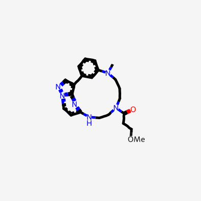 COCCC(=O)N1CCCN(C)c2cccc(c2)-c2cnn3ccc(nc23)NCC1